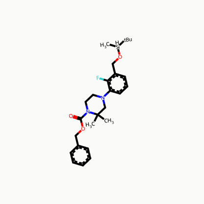 C[SiH](OCc1cccc(N2CCN(C(=O)OCc3ccccc3)C(C)(C)C2)c1F)C(C)(C)C